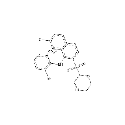 O=C(O)c1cccc(Br)c1Nc1c(S(=O)(=O)C2CNCCO2)cnc2ccc(Cl)cc12